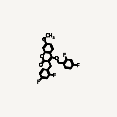 COc1ccc2c(OCc3ccc(F)cc3F)c(Cc3ccc(F)cc3F)c(=O)oc2c1